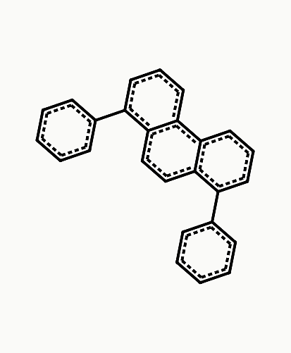 c1ccc(-c2cccc3c2ccc2c(-c4ccccc4)cccc23)cc1